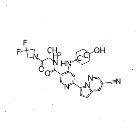 C[C@H](NC(=O)c1cnc(-c2ccc3cc(C#N)cnn23)cc1NC12CCC(O)(CC1)CC2)C(=O)N1CC(F)(F)C1